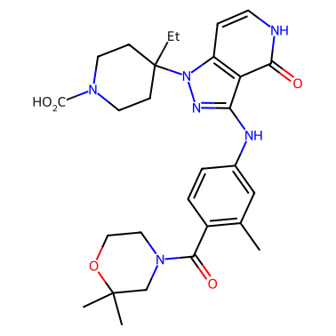 CCC1(n2nc(Nc3ccc(C(=O)N4CCOC(C)(C)C4)c(C)c3)c3c(=O)[nH]ccc32)CCN(C(=O)O)CC1